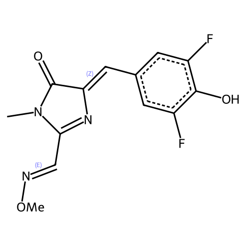 CO/N=C/C1=NC(=C\c2cc(F)c(O)c(F)c2)/C(=O)N1C